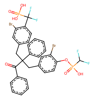 O=C(c1ccccc1)C(Cc1ccc(OP(=O)(O)C(F)F)c(Br)c1)(Cc1ccc(C(F)(F)P(=O)(O)O)c(Br)c1)c1ccccc1